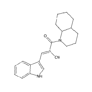 N#C/C(=C\c1c[nH]c2ccccc12)C(=O)N1CCCC2CCCCC21